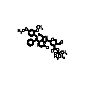 COc1ccc(CN(c2ccccc2)c2ncc(Cl)n3c(C4CN(C(=O)OC(C)(C)C)C(C=O)CO4)nc(Br)c23)c(OC)c1